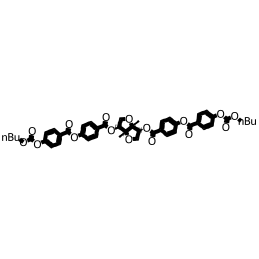 CCCCOC(=O)Oc1ccc(C(=O)Oc2ccc(C(=O)O[C@H]3CO[C@]4(C)[C@H](OC(=O)c5ccc(OC(=O)c6ccc(OC(=O)OCCCC)cc6)cc5)CO[C@]34C)cc2)cc1